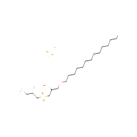 CCCCCCCCCCCCCCOCC(CS(=O)(=O)CCC[N+](C)(C)C)OC.CS(=O)(=O)O